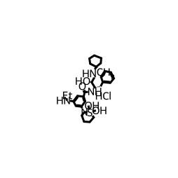 CCNc1cc(C(=O)N[C@@H](Cc2ccccc2)[C@H](O)CNC2(C)CCCCC2)cc(N2CCCCS2(O)O)c1.Cl